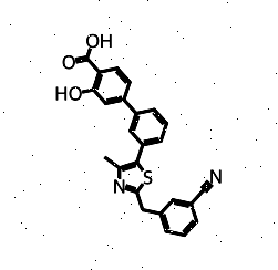 Cc1nc(Cc2cccc(C#N)c2)sc1-c1cccc(-c2ccc(C(=O)O)c(O)c2)c1